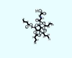 CCCC(=O)OC[C@H]1O[C@@H](OC(=O)/C=C/C(=O)O)[C@H](OC(=O)CCC)[C@@H](OC(=O)CCC)[C@H]1OC(=O)CCC